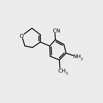 Cc1cc(C2=CCOCC2)c(C#N)cc1N